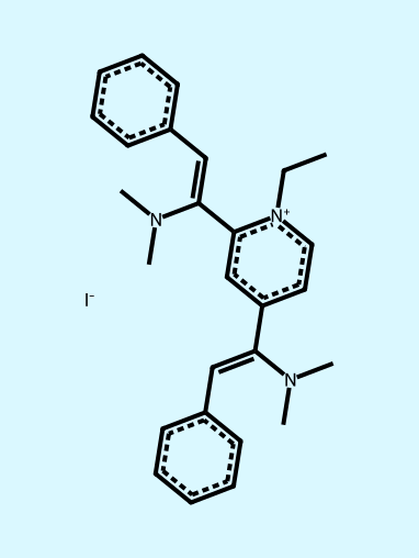 CC[n+]1ccc(C(=Cc2ccccc2)N(C)C)cc1C(=Cc1ccccc1)N(C)C.[I-]